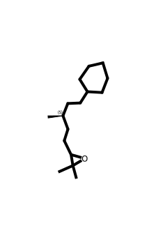 C[C@@H](CCC1CCCCC1)CCC1OC1(C)C